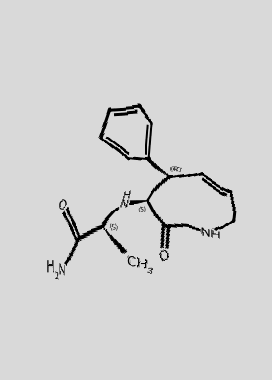 C[C@H](N[C@@H]1C(=O)NCC=C[C@@H]1c1ccccc1)C(N)=O